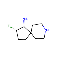 N[C@H]1[C@@H](F)CCC12CCNCC2